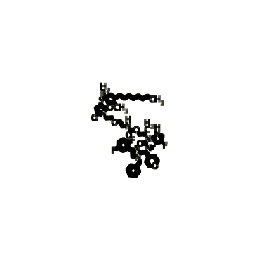 BC(CCC)(CCCCCCCCCC)SC1CC(=O)N(CCOCCNC(=O)OC[C@H](C)NC(=O)N(C[C@@H]2CNC[C@@H]2F)[C@@H](c2nc(-c3cc(F)ccc3F)cn2Cc2ccccc2)C2CCOCC2)C1=O